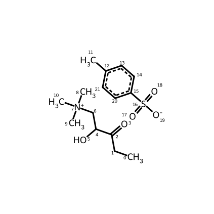 CCC(=O)C(O)C[N+](C)(C)C.Cc1ccc(S(=O)(=O)[O-])cc1